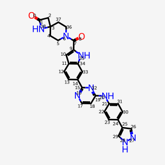 O=C1CC2(CCN(C(=O)c3cc4ccc(-c5nccc(Nc6ccc(-c7cn[nH]c7)cc6)n5)cc4[nH]3)CC2)N1